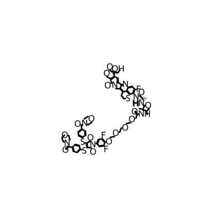 CC[C@@]1(O)C(=O)OCc2c1cc1n(c2=O)Cc2c-1nc1cc(F)c(NC(=O)[C@H](C)NC(=O)C(C)(NC(=O)COCCOCCOCCOc3c(F)cc(N4C(=O)C(Sc5ccc(C(=O)N6CCOCC6)cc5)=C(Sc5ccc(C(=O)N6CCOCC6)cc5)C4=O)cc3F)C(C)C)c3c1c2CCS3